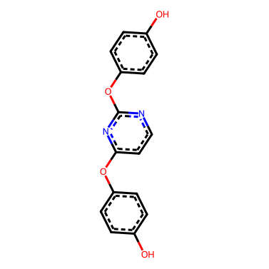 Oc1ccc(Oc2ccnc(Oc3ccc(O)cc3)n2)cc1